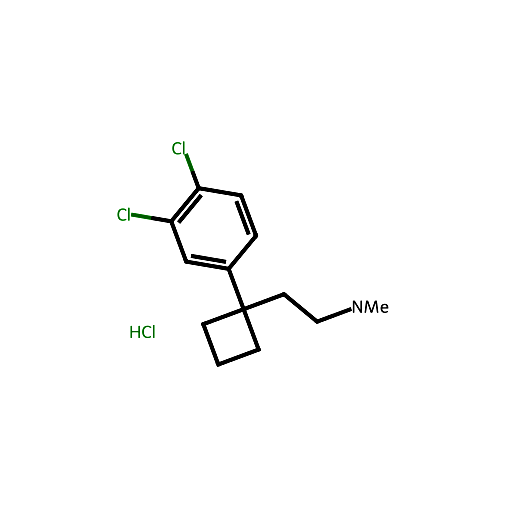 CNCCC1(c2ccc(Cl)c(Cl)c2)CCC1.Cl